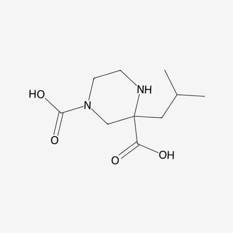 CC(C)CC1(C(=O)O)CN(C(=O)O)CCN1